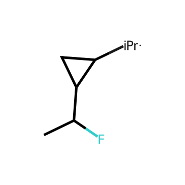 C[C](C)C1CC1C(C)F